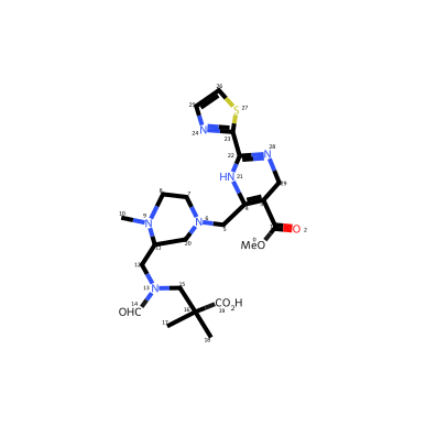 COC(=O)C1=C(CN2CCN(C)C(CN(C=O)CC(C)(C)C(=O)O)C2)NC(c2nccs2)=NC1